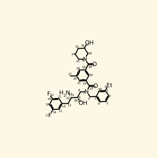 CCc1cccc(CN(C[C@@H](O)[C@@H](N)Cc2cc(F)cc(F)c2)C(=O)c2cc(C)cc(C(=O)N3CCCC(O)C3)c2)c1